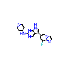 Fc1cc(-c2c[nH]c3nc(Nc4ccncc4)ncc23)cn2ccnc12